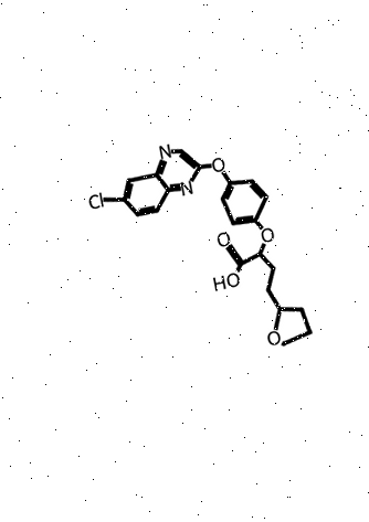 O=C(O)C(CCC1CCCO1)Oc1ccc(Oc2cnc3cc(Cl)ccc3n2)cc1